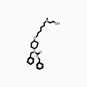 CN(CCO)CCCCCCO[C@H]1CC[C@H](N(Cc2ccccc2)C(=O)OCc2ccccc2)CC1